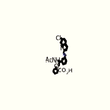 CC(=O)NC(COc1ccccc1C(=O)O)c1cccc(/C=C/c2ccc3ccc(Cl)cc3n2)c1